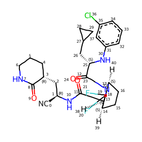 N#C[C@@H](C[C@H]1CCCNC1=O)NC(=O)[C@@H]1[C@@H]2CC[C@@H](CC2(F)F)N1C(=O)[C@H](CC1CC1)Nc1cccc(Cl)c1